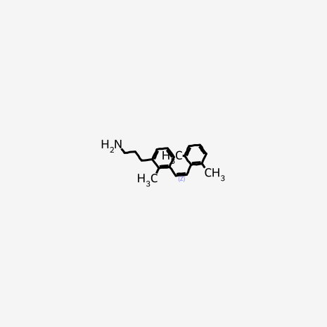 Cc1cccc(C)c1/C=C\c1cccc(CCCN)c1C